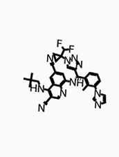 Cc1c([C@H](Nc2cc(C#N)cc3c(NCC(C)(C)C)c(C#N)cnc23)c2cn(C3(C(F)F)CC3)nn2)cccc1-n1ccnc1